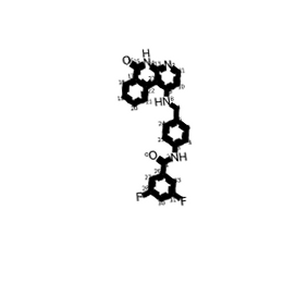 O=C(Nc1ccc(CNc2ccnc3[nH]c(=O)c4ccccc4c23)cc1)c1cc(F)cc(F)c1